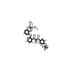 CC1(C)Oc2cccc(Oc3ncccc3NC(=O)Nc3ccc(OC(F)(F)F)cc3)c2O1